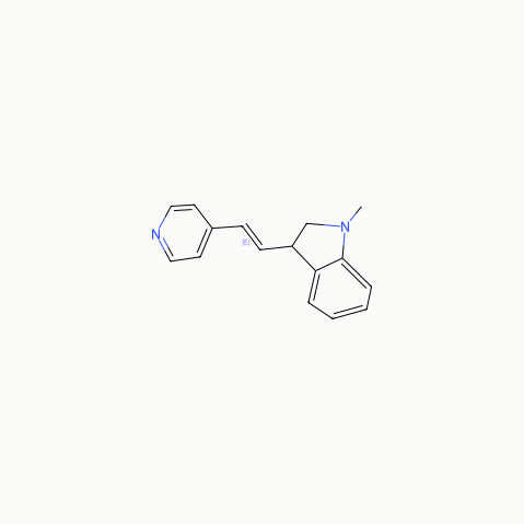 CN1CC(/C=C/c2ccncc2)c2ccccc21